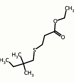 CCOC(=O)CCSCC(C)(C)CC